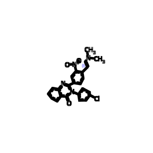 CN(C)/C=C/c1ccc(-c2nc3ccccc3c(=O)n2-c2ccc(Cl)cc2)cc1[N+](=O)[O-]